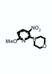 COc1ccc([N+](=O)[O-])c(N2CCOCC2)n1